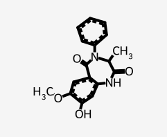 COc1cc2c(cc1O)NC(=O)C(C)N(c1ccccc1)C2=O